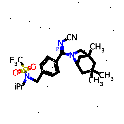 CC(C)N(Cc1ccc(/C(=N/C#N)N2CC3(C)CC2CC(C)(C)C3)cc1)S(=O)(=O)C(F)(F)F